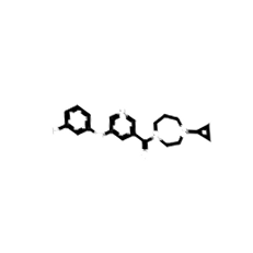 O=C(c1cncc(Oc2cccc(F)c2)c1)N1CCCN(C2CC2)CC1